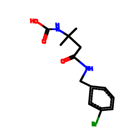 CC(C)(CC(=O)NCc1cccc(Br)c1)NC(=O)O